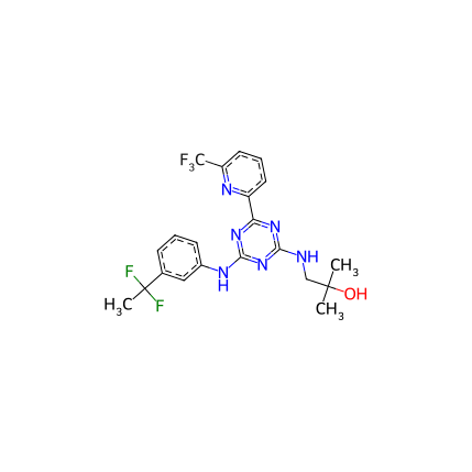 CC(C)(O)CNc1nc(Nc2cccc(C(C)(F)F)c2)nc(-c2cccc(C(F)(F)F)n2)n1